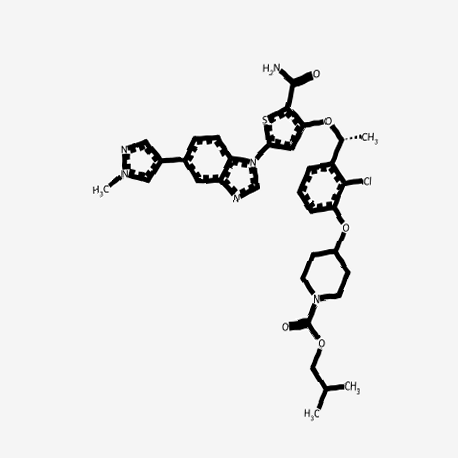 CC(C)COC(=O)N1CCC(Oc2cccc([C@@H](C)Oc3cc(-n4cnc5cc(-c6cnn(C)c6)ccc54)sc3C(N)=O)c2Cl)CC1